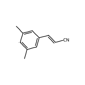 Cc1[c]c(C)cc(C=CC#N)c1